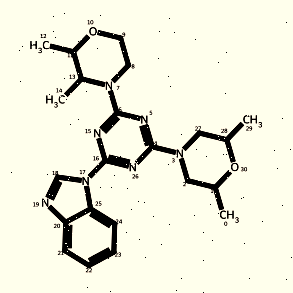 CC1CN(c2nc(N3CCOC(C)C3C)nc(-n3cnc4ccccc43)n2)CC(C)O1